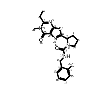 CCc1nc2sc(C3CCCN3C(=O)NCc3ccccc3Cl)nc2c(=O)n1C